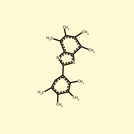 Cc1cc(-c2nc3c(C)c(C)c(C)c(C)c3s2)c(C)c(C)c1C